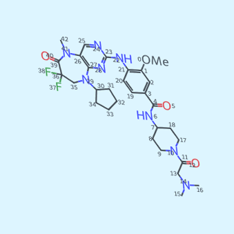 COc1cc(C(=O)NC2CCN(C(=O)CN(C)C)CC2)ccc1Nc1ncc2c(n1)N(C1CCCC1)CC(F)(F)C(=O)N2C